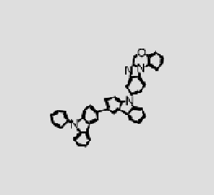 c1ccc(-n2c3ccccc3c3cc(-c4ccc5c(c4)c4ccccc4n5-c4ccc5c(c4)nc4n5-c5ccccc5OC4)ccc32)cc1